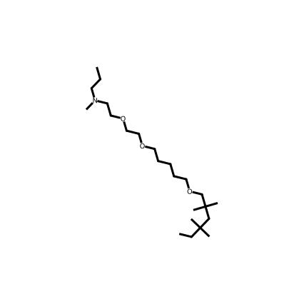 CCCN(C)CCOCCOCCCCCOCC(C)(C)CC(C)(C)CC